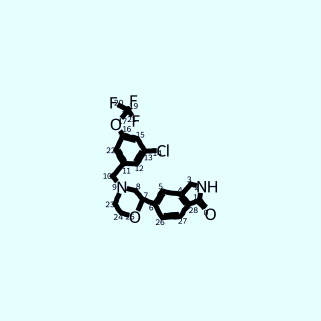 O=C1NCc2cc(C3CN(Cc4cc(Cl)cc(OC(F)(F)F)c4)CCO3)ccc21